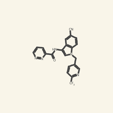 N#Cc1ccc2c(c1)c(NC(=O)c1cccnn1)cn2Cc1ccc(C(F)(F)F)nc1